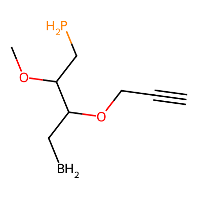 BCC(OCC#C)C(CP)OC